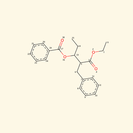 CCOC(=O)C(Cc1ccccc1)C(CC)OC(=O)c1ccccc1